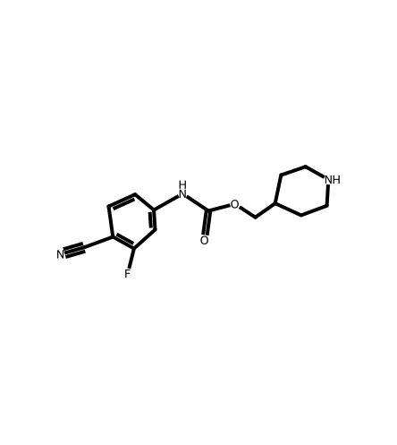 N#Cc1ccc(NC(=O)OCC2CCNCC2)cc1F